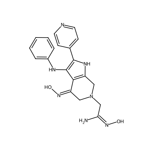 N/C(CN1C/C(=N/O)c2c([nH]c(-c3ccncc3)c2Nc2ccccc2)C1)=N/O